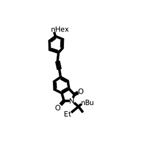 CCCCCCc1ccc(C#Cc2ccc3c(c2)C(=O)N(C(C)(CC)CCCC)C3=O)cc1